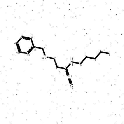 CCCCCNC(=C=O)CCSCc1ccccc1